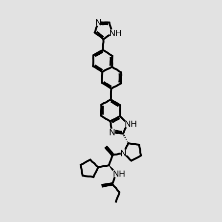 C=C(CC)N[C@H](C(=C)N1CCC[C@H]1c1nc2ccc(-c3ccc4cc(-c5cnc[nH]5)ccc4c3)cc2[nH]1)C1CCCC1